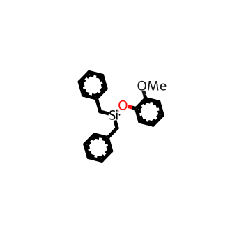 COc1ccccc1O[Si](Cc1ccccc1)Cc1ccccc1